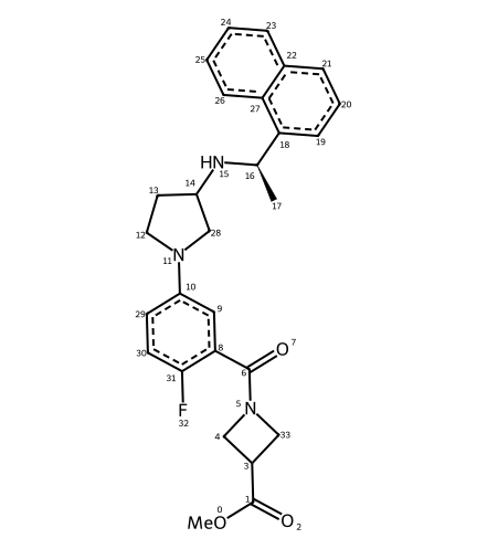 COC(=O)C1CN(C(=O)c2cc(N3CCC(N[C@H](C)c4cccc5ccccc45)C3)ccc2F)C1